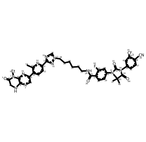 CCN1C(=O)CNc2ncc(-c3ccc(-c4ncn(CCCCCCNC(=O)c5ccc(N6C(=O)N(c7ccc(C#N)c(C(F)(F)F)c7)C(=O)C6(C)C)cc5F)n4)nc3C)nc21